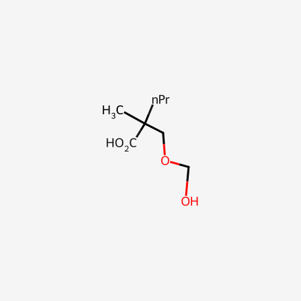 CCCC(C)(COCO)C(=O)O